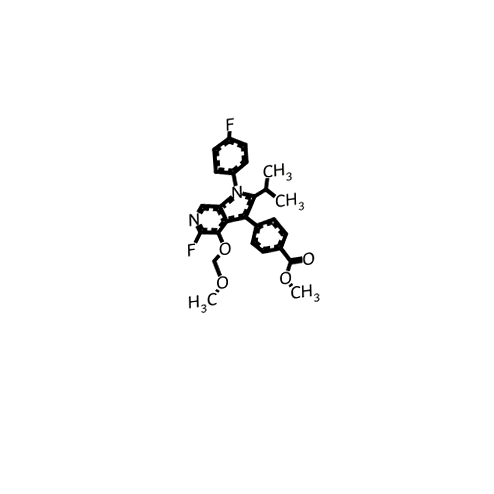 COCOc1c(F)ncc2c1c(-c1ccc(C(=O)OC)cc1)c(C(C)C)n2-c1ccc(F)cc1